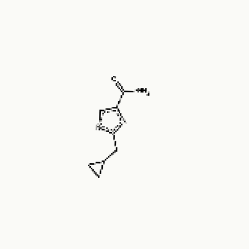 NC(=O)c1cnc(CC2CC2)s1